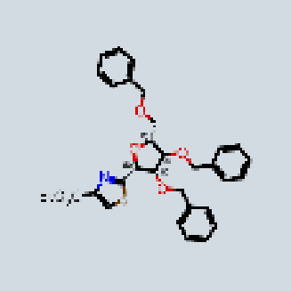 CCOC(=O)c1csc([C@@H]2O[C@H](COCc3ccccc3)[C@@H](OCc3ccccc3)[C@H]2OCc2ccccc2)n1